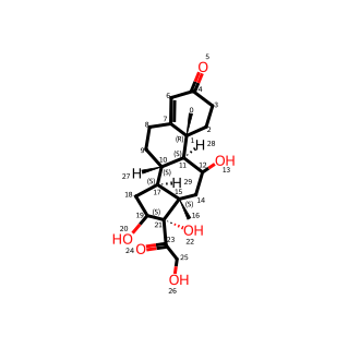 C[C@]12CCC(=O)C=C1CC[C@@H]1[C@@H]2C(O)C[C@@]2(C)[C@H]1CC(O)[C@]2(O)C(=O)CO